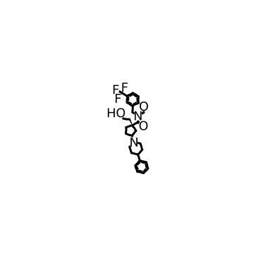 O=C(N1COc2ccc(C(F)(F)F)cc2C1)[C@@]1(CCO)CC[C@@H](N2CCC(c3ccccc3)CC2)C1